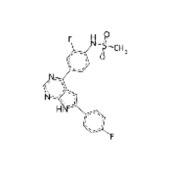 CS(=O)(=O)Nc1ccc(-c2ncnc3[nH]c(-c4ccc(F)cc4)cc23)cc1F